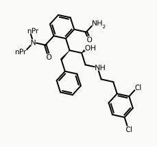 CCCN(CCC)C(=O)c1cccc(C(N)=O)c1[C@H](Cc1ccccc1)[C@@H](O)CNCCc1ccc(Cl)cc1Cl